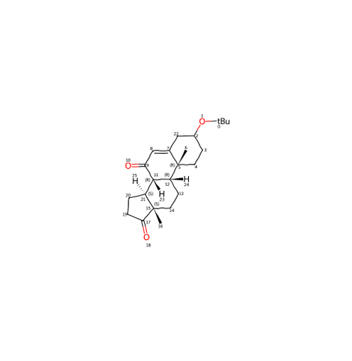 CC(C)(C)OC1CC[C@@]2(C)C(=CC(=O)[C@@H]3[C@H]2CC[C@]2(C)C(=O)CC[C@@H]32)C1